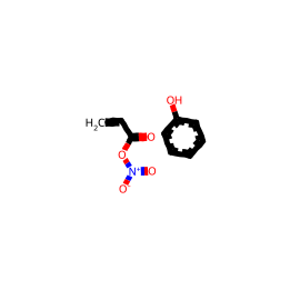 C=CC(=O)O[N+](=O)[O-].Oc1ccccc1